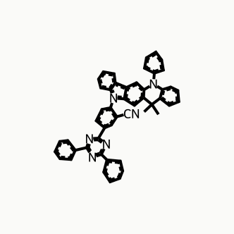 CC1(C)c2ccccc2N(c2ccccc2)c2cc3c4ccccc4n(-c4ccc(-c5nc(-c6ccccc6)nc(-c6ccccc6)n5)cc4C#N)c3cc21